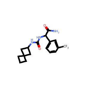 NC(=O)C(NC(=O)NC1CC2(CCC2)C1)c1cccc(C(F)(F)F)c1